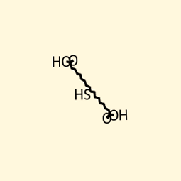 O=C(O)CCCCCCCCC(S)CCCCCCCC(=O)O